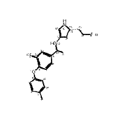 Cc1ccc(Oc2ccc(C(C)NC3=CN[C@H](CCF)C3)cc2F)cc1